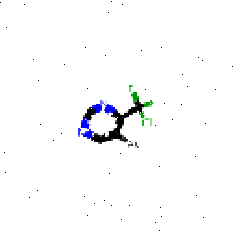 CC(=O)c1cncnc1C(F)(F)Cl